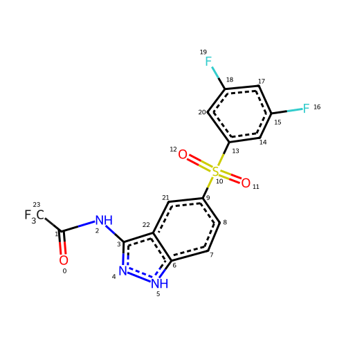 O=C(Nc1n[nH]c2ccc(S(=O)(=O)c3cc(F)cc(F)c3)cc12)C(F)(F)F